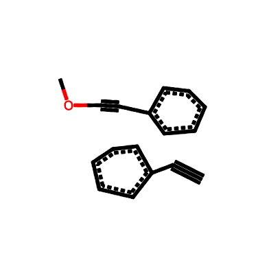 C#Cc1ccccc1.COC#Cc1ccccc1